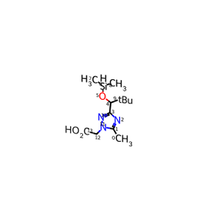 Cc1nc(C(O[SiH](C)C)C(C)(C)C)nn1CC(=O)O